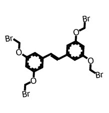 BrCOc1cc(/C=C/c2cc(OCBr)cc(OCBr)c2)cc(OCBr)c1